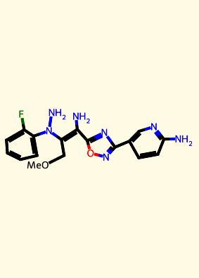 COC/C(=C(/N)c1nc(-c2ccc(N)nc2)no1)N(N)c1ccccc1F